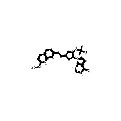 CC(C)(C)Nc1ccc2ccc(CCC3CC(OC(C)(C)O)C(n4ccc5c(Cl)ncnc54)C3)cc2n1